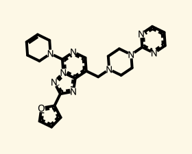 C1=CCN(c2ncc(CN3CCN(c4ncccn4)CC3)c3nc(-c4ccco4)nn23)CC1